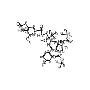 COc1nc(C(=O)NC[C@@](O)(c2cc3c(c(-c4ccc(F)cc4)n2)N(C(=O)OC(C)(C)C)C[C@@]3(C)N[S+]([O-])C(C)(C)C)C(F)(F)F)cc2c1NC(=O)C2